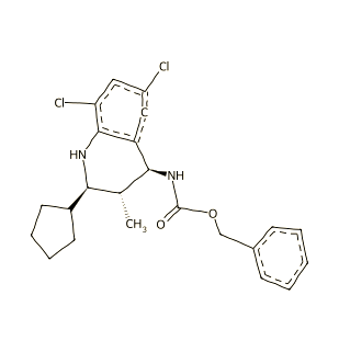 C[C@H]1[C@H](NC(=O)OCc2ccccc2)c2cc(Cl)cc(Cl)c2N[C@@H]1C1CCCC1